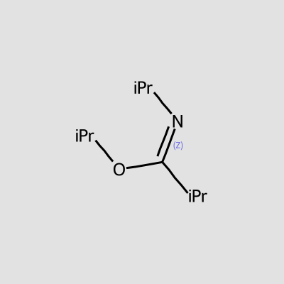 CC(C)/N=C(\OC(C)C)C(C)C